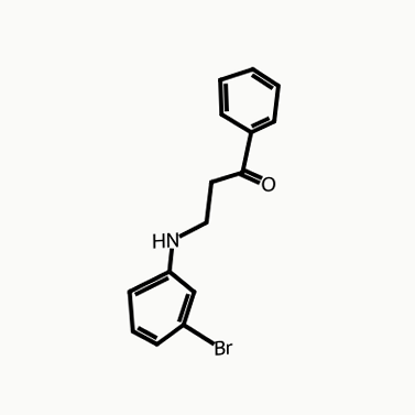 O=C(CCNc1cccc(Br)c1)c1ccccc1